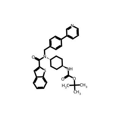 CC(C)(C)OC(=O)N[C@H]1CC[C@H](N(Cc2ccc(-c3cccnc3)cc2)C(=O)c2cc3ccccc3s2)CC1